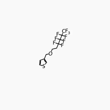 FC(F)(F)C(F)(F)C(F)(F)C(F)(F)CCOCc1ccsc1